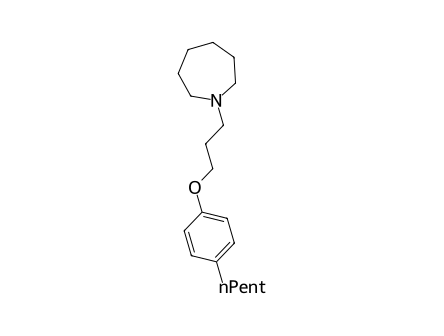 [CH2]CCCCc1ccc(OCCCN2CCCCCC2)cc1